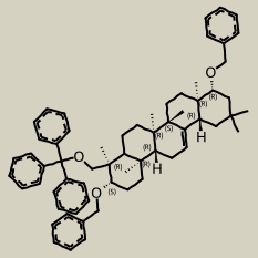 CC1(C)C[C@@H]2C3=CC[C@@H]4[C@@]5(C)CC[C@H](OCc6ccccc6)[C@@](C)(COC(c6ccccc6)(c6ccccc6)c6ccccc6)C5CC[C@@]4(C)[C@]3(C)CC[C@@]2(C)[C@H](OCc2ccccc2)C1